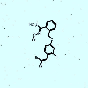 CCON=C(C(=O)O)c1ccccc1COc1ccc(C=C(Br)Br)c(Cl)c1